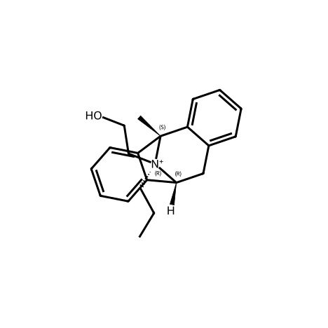 CCC[N@@+]1(CCO)[C@@H]2Cc3ccccc3[C@@]1(C)c1ccccc12